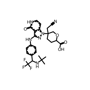 CC(C)(C)NC(c1ccc(Nc2nn(C3(CC#N)CCC(C(=O)O)OC3)c3cc[nH]c(=O)c23)cc1)C(F)(F)F